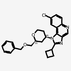 Clc1ccc2ncc3nc(C4CCC4)n([C@@H]4CCO[C@H](COCc5ccccc5)C4)c3c2c1